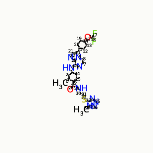 Cc1cc(Nc2nccn3c(-c4ccc(OC(F)F)cc4)cnc23)ccc1C(=O)NCCSc1nnnn1C